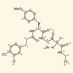 COc1ccc(C[C@H](NC(=O)CCc2ccc(Cl)c(Cl)c2)C(=O)N[C@H](C(=O)C(F)(F)C(=O)NCC(F)(F)F)C(C)C)cc1